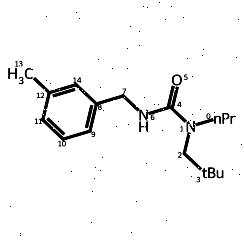 CCCN(CC(C)(C)C)C(=O)NCc1cccc(C)c1